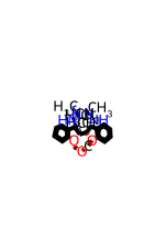 CN(C)NC(C)(c1ccccc1)C1OCOCOC1C(C)(NN(C)C)c1ccccc1